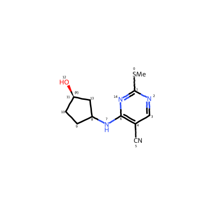 CSc1ncc(C#N)c(NC2CC[C@@H](O)C2)n1